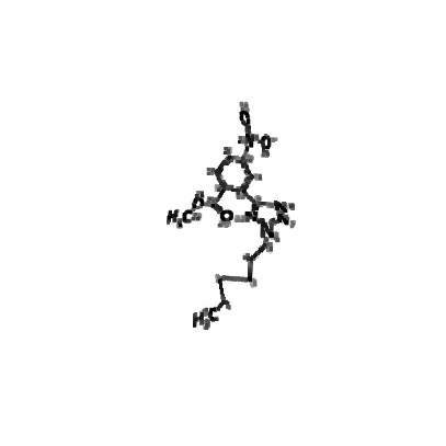 CCCCCCn1nnc(-c2cc([N+](=O)[O-])ccc2C(=O)OC)n1